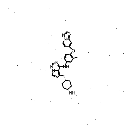 Cc1cc(Nc2ncnn3ccc(C[C@H]4CC[C@H](N)CC4)c23)ccc1Oc1ccn2ncnc2c1